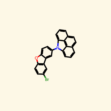 Brc1ccc2oc3ccc(-n4c5cccc6ccc7cccc4c7c65)cc3c2c1